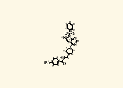 CC(C)(C)c1ccc(C(=O)NCC2CCN(c3ncnc4c3cc(I)n4S(=O)(=O)c3ccccc3)CC2)cc1